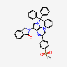 CC(C)S(=O)(=O)c1ccc(-c2cnc3c(n2)c(N2Cc4ccccc4C2=O)cn3C(c2ccccc2)(c2ccccc2)c2ccccc2)cc1